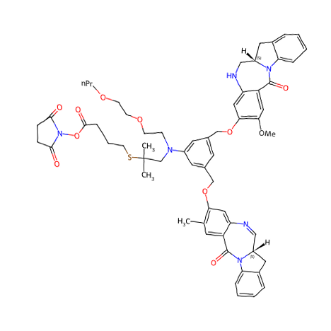 CCCOCCOCCN(CC(C)(C)SCCCC(=O)ON1C(=O)CCC1=O)c1cc(COc2cc3c(cc2C)C(=O)N2c4ccccc4C[C@H]2C=N3)cc(COc2cc3c(cc2OC)C(=O)N2c4ccccc4C[C@H]2CN3)c1